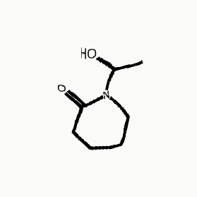 CC(O)N1CCCCC1=O